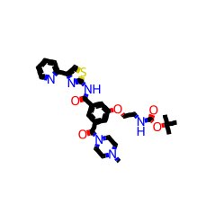 CN1CCN(C(=O)c2cc(OCCNC(=O)OC(C)(C)C)cc(C(=O)Nc3nc(-c4ccccn4)cs3)c2)CC1